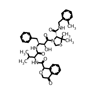 Cc1ccccc1CNC(=O)[C@H]1N(C(=O)[C@@H](O)[C@H](Cc2ccccc2)NC(=O)[C@@H](NC(=O)C2OCC(=O)c3ccccc32)C(C)C)CSC1(C)C